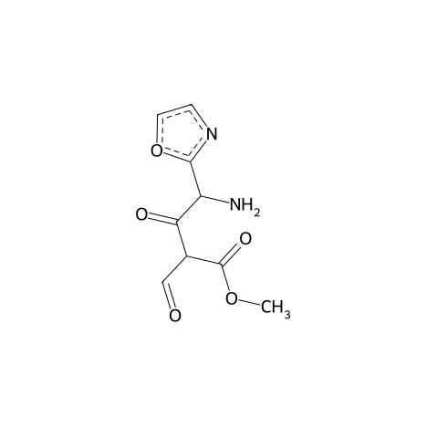 COC(=O)C(C=O)C(=O)C(N)c1ncco1